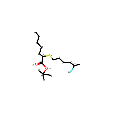 CCCCCC(SCCCCC(C)F)C(=O)OC(C)(C)C